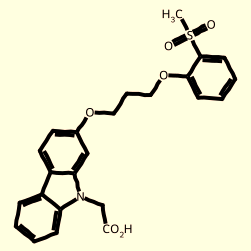 CS(=O)(=O)c1ccccc1OCCCOc1ccc2c3ccccc3n(CC(=O)O)c2c1